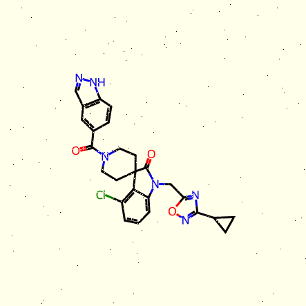 O=C(c1ccc2[nH]ncc2c1)N1CCC2(CC1)C(=O)N(Cc1nc(C3CC3)no1)c1cccc(Cl)c12